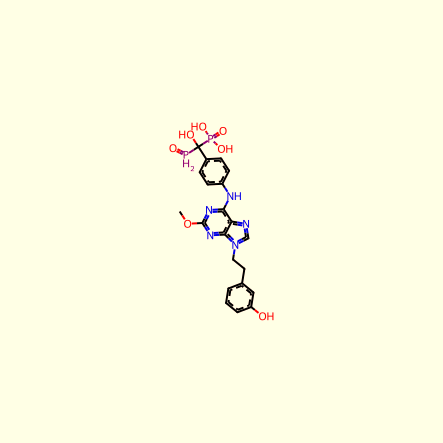 COc1nc(Nc2ccc(C(O)([PH2]=O)P(=O)(O)O)cc2)c2ncn(CCc3cccc(O)c3)c2n1